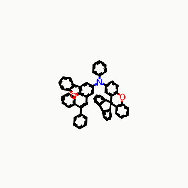 C(=C(c1ccccc1)c1ccccc1)c1cc(N(c2ccccc2)c2ccc3c(c2)C2(c4ccccc4O3)c3ccccc3-c3ccccc32)cc2c1oc1ccccc12